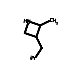 CC(C)CC1CNC1C